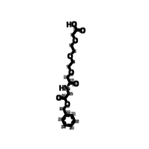 O=C(O)COCCOCCOCC(=O)NCC(=O)OCc1ccccc1